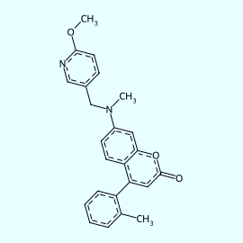 COc1ccc(CN(C)c2ccc3c(-c4ccccc4C)cc(=O)oc3c2)cn1